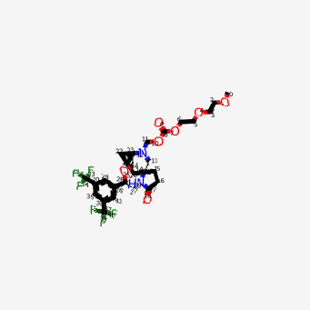 COCCOCCOC(=O)OCN1C[C@@]2(CCC(=O)N2)CC2C[C@]21CO[C@H](C)c1cc(C(F)(F)F)cc(C(F)(F)F)c1